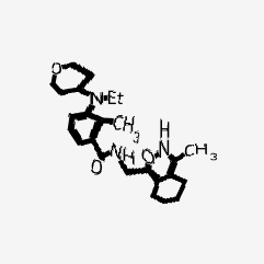 CCN(c1cccc(C(=O)NCC2=C3CCCCC3=C(C)NO2)c1C)C1CCOCC1